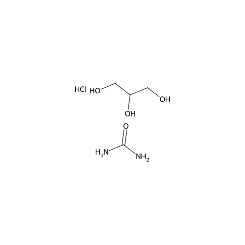 Cl.NC(N)=O.OCC(O)CO